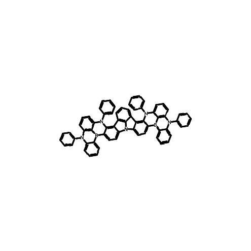 c1ccc(N2c3ccccc3B3c4ccc5c(c4N(c4ccccc4)c4cccc2c43)c2cccc3c4c6c(ccc4n5c23)B2c3ccccc3N(c3ccccc3)c3cccc(c32)N6c2ccccc2)cc1